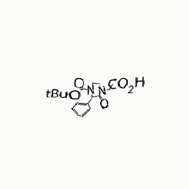 CC(C)(C)OC(=O)N1CCN(CC(=O)O)C(=O)C1c1ccccc1